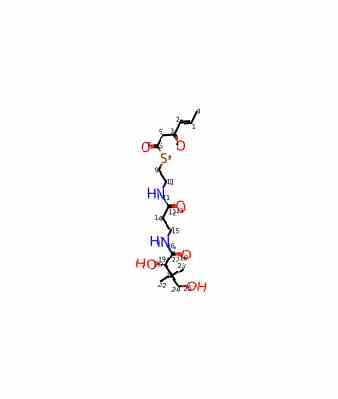 C/C=C/C(=O)CC(=O)SCCNC(=O)CCNC(=O)[C@H](O)C(C)(C)CO